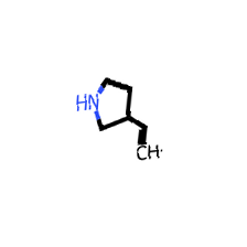 [CH]=CC1CCNC1